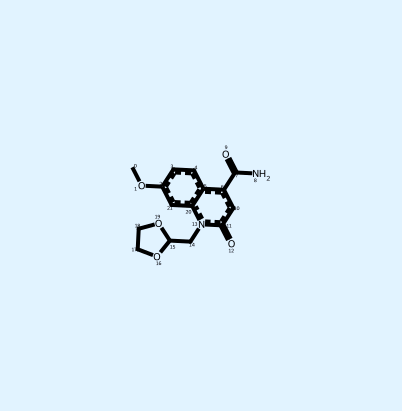 COc1ccc2c(C(N)=O)cc(=O)n(CC3OCCO3)c2c1